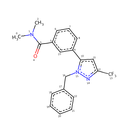 CN(C)C(=O)c1cccc(-c2cc(C(F)(F)F)nn2Cc2ccccc2)c1